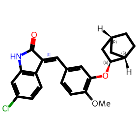 COc1ccc(/C=C2/C(=O)Nc3cc(Cl)ccc32)cc1O[C@H]1C[C@@H]2CC[C@H]1C2